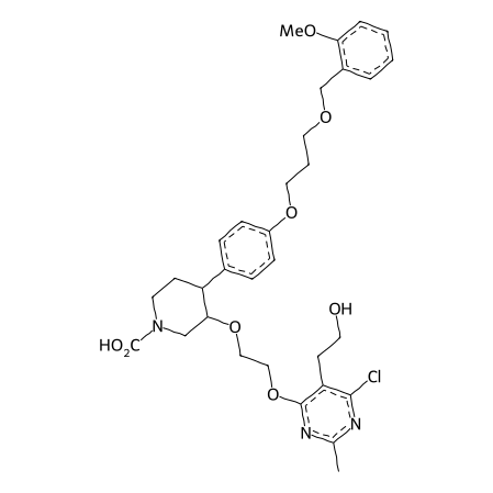 COc1ccccc1COCCCOc1ccc(C2CCN(C(=O)O)CC2OCCOc2nc(C)nc(Cl)c2CCO)cc1